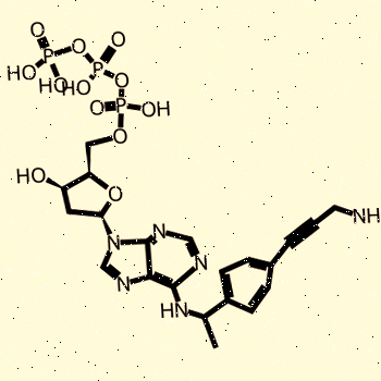 CC(Nc1ncnc2c1ncn2[C@H]1C[C@@H](O)[C@@H](COP(=O)(O)OP(=O)(O)OP(=O)(O)O)O1)c1ccc(C#CCN)cc1